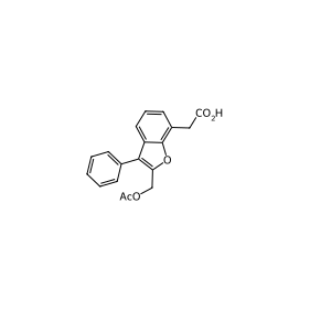 CC(=O)OCc1oc2c(CC(=O)O)cccc2c1-c1ccccc1